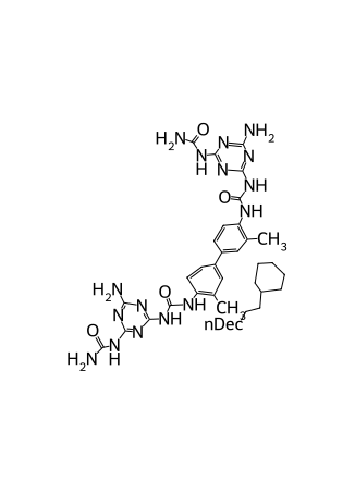 CCCCCCCCCCCCC1CCCCC1.Cc1cc(-c2ccc(NC(=O)Nc3nc(N)nc(NC(N)=O)n3)c(C)c2)ccc1NC(=O)Nc1nc(N)nc(NC(N)=O)n1